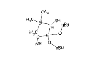 CCCCO[Si](OCCCC)(OCCCC)[C@@H](S)[Si](C)(C)C